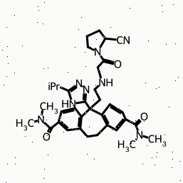 CC(C)c1nnc(C2(CCNCC(=O)N3CCCC3C#N)c3ccc(C(=O)N(C)C)cc3CCc3cc(C(=O)N(C)C)ccc32)[nH]1